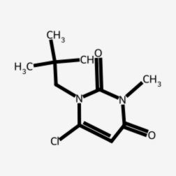 Cn1c(=O)cc(Cl)n(CC(C)(C)C)c1=O